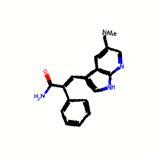 CNc1cnc2[nH]cc(C=C(C(N)=O)c3ccccc3)c2c1